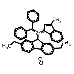 CCc1ccc2c(c1)[CH]([Zr+2](=[C](c1ccccc1)c1ccccc1)[CH]1C=C(C)c3ccccc31)c1cc(CC)ccc1-2.[Cl-].[Cl-]